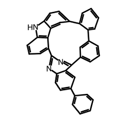 c1ccc(-c2ccc3nc4nc(c5cccc(c5)c5ccccc5c5ccc6[nH]c7cccc4c7c6c5)c3c2)cc1